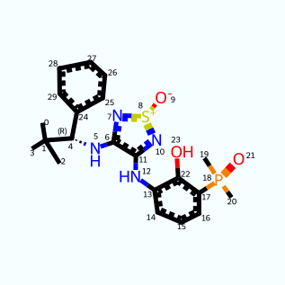 CC(C)(C)[C@@H](Nc1n[s+]([O-])nc1Nc1cccc(P(C)(C)=O)c1O)c1ccccc1